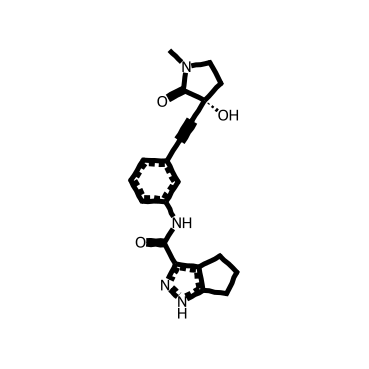 CN1CC[C@@](O)(C#Cc2cccc(NC(=O)c3n[nH]c4c3CCC4)c2)C1=O